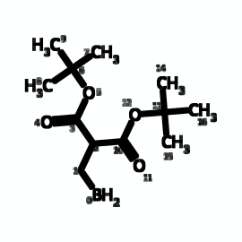 BCC(C(=O)OC(C)(C)C)C(=O)OC(C)(C)C